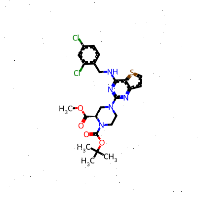 COC(=O)[C@H]1CN(c2nc(NCc3ccc(Cl)cc3Cl)c3sccc3n2)CCN1C(=O)OC(C)(C)C